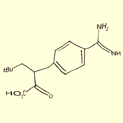 CC(C)(C)CC(C(=O)C(=O)O)c1ccc(C(=N)N)cc1